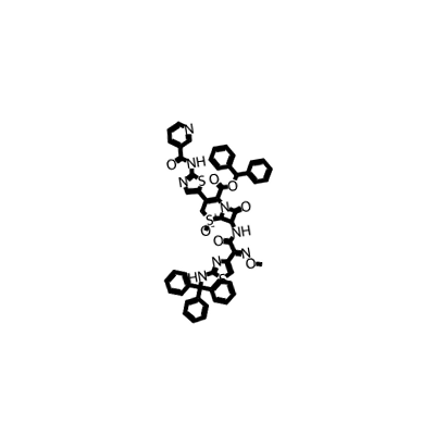 CON=C(C(=O)NC1C(=O)N2C(C(=O)OC(c3ccccc3)c3ccccc3)=C(c3cnc(NC(=O)c4cccnc4)s3)C[S+]([O-])C12)c1csc(NC(c2ccccc2)(c2ccccc2)c2ccccc2)n1